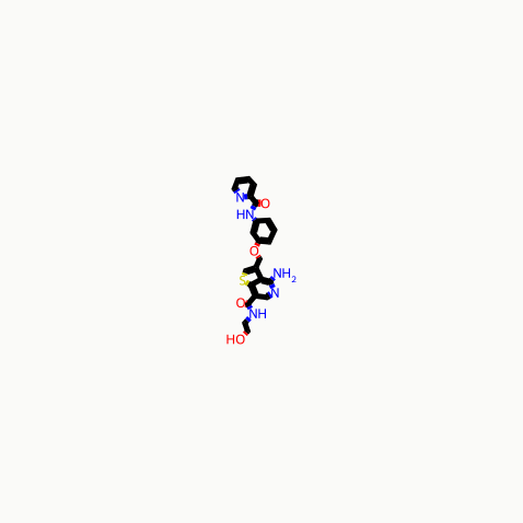 Nc1ncc(C(=O)NCCO)c2scc(COc3cccc(NC(=O)c4ccccn4)c3)c12